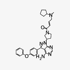 CN(C/C=C/C(=O)N1CC[C@@H](n2nc(-c3ccc(Oc4ccccc4)cc3)c3c(N)ncnc32)C1)C1CCCC1